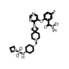 CCN(C(=O)c1cc(F)ccc1Oc1cncnc1N1CC2(CCN(C[C@H]3CC[C@H](NS(=O)(=O)N4CCC4)CC3)CC2)C1)C(C)C